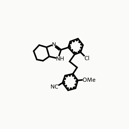 COc1ccc(C#N)cc1CCc1c(Cl)cccc1C1=NC2CCCCC2N1